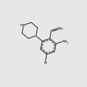 N=Cc1c(N)cc(Br)cc1N1CCNCC1